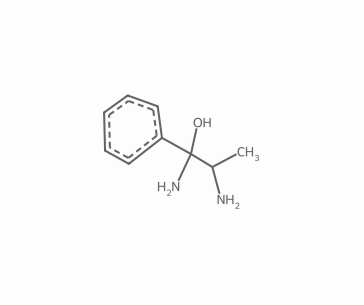 CC(N)C(N)(O)c1ccccc1